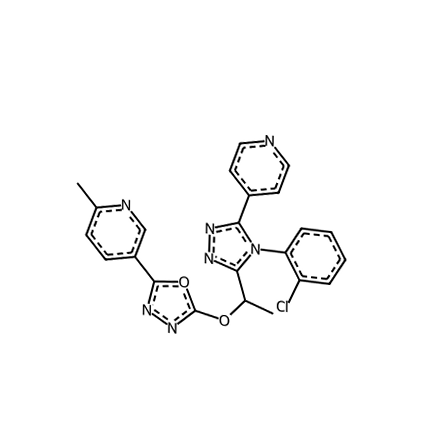 Cc1ccc(-c2nnc(OC(C)c3nnc(-c4ccncc4)n3-c3ccccc3Cl)o2)cn1